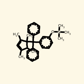 CC1=C=C(C)C(C)(C(c2ccccc2)(c2ccccc2)c2cccc(O[Si](C)(C)C)c2)C1C